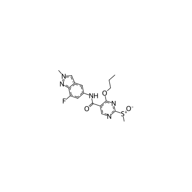 CCCOc1nc([S+](C)[O-])ncc1C(=O)Nc1cc(F)c2nn(C)cc2c1